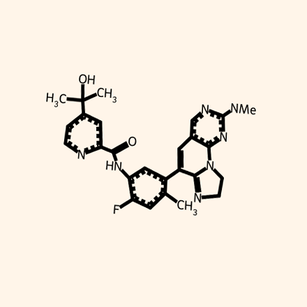 CNc1ncc2c(n1)N1CCN=C1C(c1cc(NC(=O)c3cc(C(C)(C)O)ccn3)c(F)cc1C)=C2